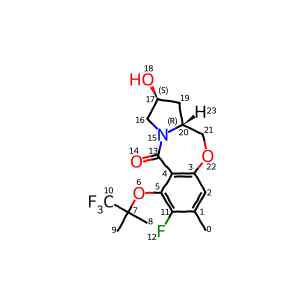 Cc1cc2c(c(OC(C)(C)C(F)(F)F)c1F)C(=O)N1C[C@@H](O)C[C@@H]1CO2